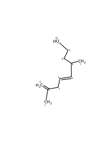 C=C(C)C/C=C/C(C)CCO